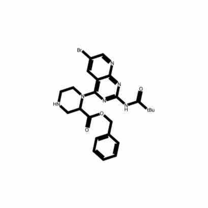 CC(C)(C)C(=O)Nc1nc(N2CCNCC2C(=O)OCc2ccccc2)c2cc(Br)cnc2n1